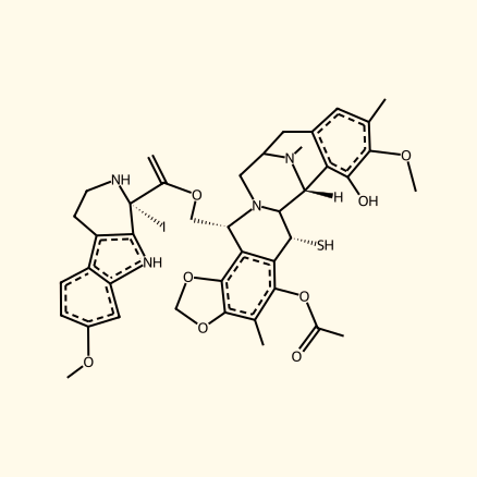 C=C(OC[C@H]1c2c3c(c(C)c(OC(C)=O)c2[C@@H](S)C2[C@H]4c5c(cc(C)c(OC)c5O)CC(CN21)N4C)OCO3)[C@]1(I)NCCc2c1[nH]c1cc(OC)ccc21